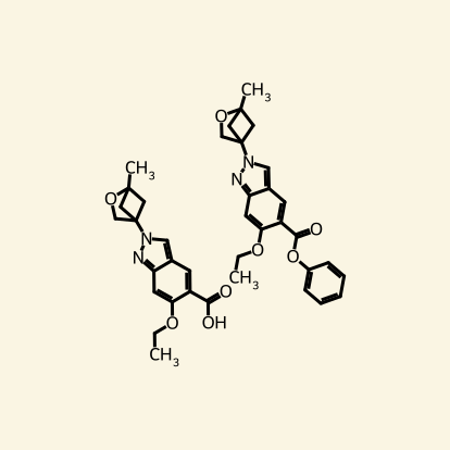 CCOc1cc2nn(C34COC(C)(C3)C4)cc2cc1C(=O)O.CCOc1cc2nn(C34COC(C)(C3)C4)cc2cc1C(=O)Oc1ccccc1